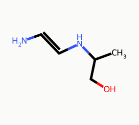 CC(CO)N/C=C/N